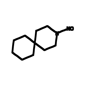 O=NN1CCC2(CCCCC2)CC1